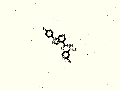 CC[C@H](NC(=O)c1cncc2c1cnn2-c1ccc(F)cc1)c1ccnc(Br)c1